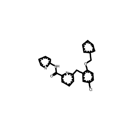 O=C(Nc1ccccn1)c1cccc(Cc2cc(Cl)ccc2OCc2ccccc2)n1